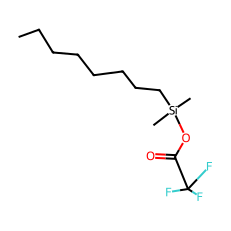 CCCCCCCC[Si](C)(C)OC(=O)C(F)(F)F